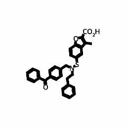 Cc1c(C(=O)O)oc2ccc(SN(CCc3ccccc3)Cc3ccc(C(=O)c4ccccc4)cc3)cc12